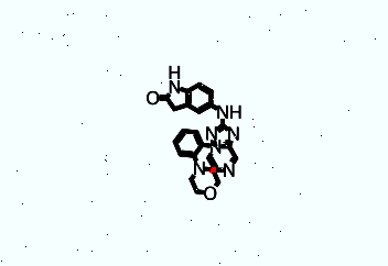 O=C1Cc2cc(NC3=N[N+]4(c5ccccc5N5CCOCC5)C=CN=CC4=N3)ccc2N1